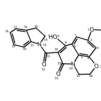 COc1cc2c3c(c1)c(O)c(C(=O)N1CCc4ccccc41)c(=O)n3CCO2